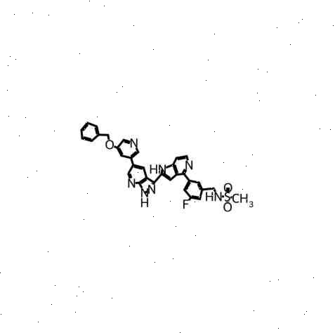 CS(=O)(=O)NCc1cc(F)cc(-c2nccc3[nH]c(-c4n[nH]c5ncc(-c6cncc(OCc7ccccc7)c6)cc45)cc23)c1